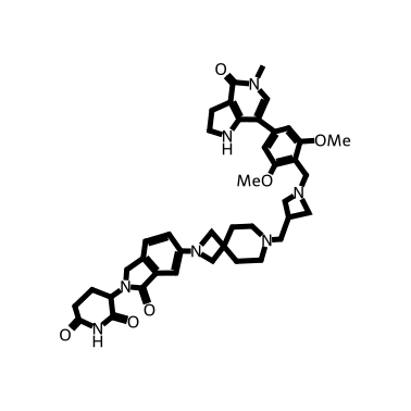 COc1cc(-c2cn(C)c(=O)c3c2NCC3)cc(OC)c1CN1CC(CN2CCC3(CC2)CN(c2ccc4c(c2)C(=O)N(C2CCC(=O)NC2=O)C4)C3)C1